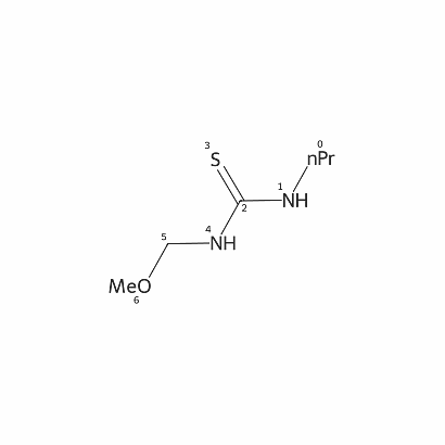 CCCNC(=S)NCOC